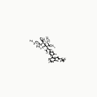 C=NN(C)/C=C(\C)[C@@H](C(C)C)N1CC[C@@]2(CCN(c3ncnc4sc(CC(F)(F)F)cc34)C2)C1